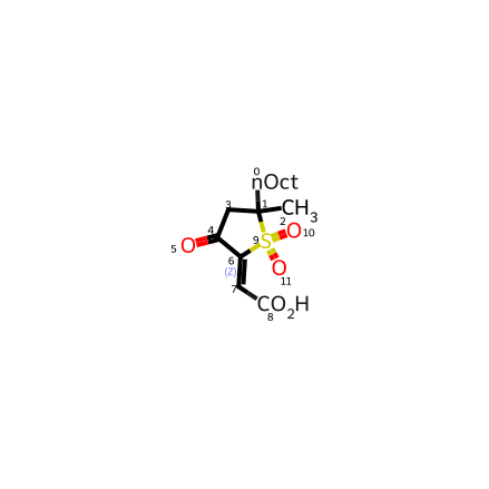 CCCCCCCCC1(C)CC(=O)/C(=C/C(=O)O)S1(=O)=O